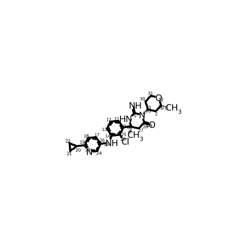 C[C@@H]1C[C@H](N2C(=N)N[C@](C)(c3cccc(Nc4ccc(C5CC5)nc4)c3Cl)CC2=O)CCO1